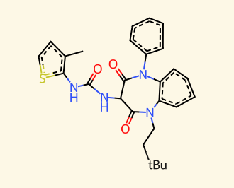 Cc1ccsc1NC(=O)NC1C(=O)N(CCC(C)(C)C)c2ccccc2N(c2ccccc2)C1=O